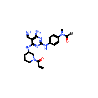 C=CC(=O)N1CCCC(Nc2nc(Nc3ccc(N(C)C(=O)CC)cc3)nc(N)c2C=N)C1